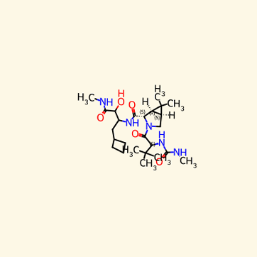 CNC(=O)N[C@H](C(=O)N1C[C@H]2[C@@H]([C@H]1C(=O)NC(CC1CCC1)C(O)C(=O)NC)C2(C)C)C(C)(C)C